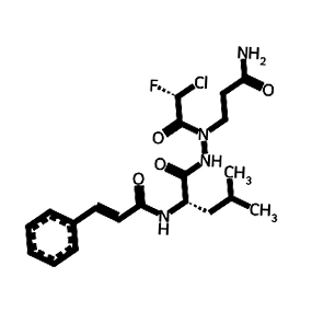 CC(C)C[C@H](NC(=O)/C=C/c1ccccc1)C(=O)NN(CCC(N)=O)C(=O)[C@H](F)Cl